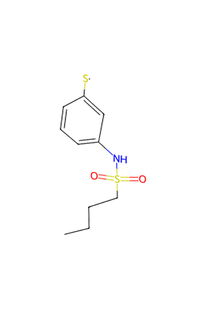 CCCCS(=O)(=O)Nc1cccc([S])c1